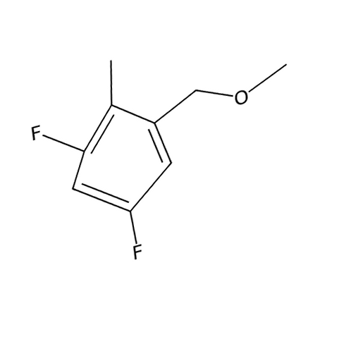 COCc1cc(F)cc(F)c1C